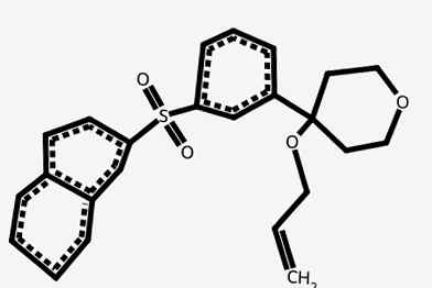 C=CCOC1(c2cccc(S(=O)(=O)c3ccc4ccccc4c3)c2)CCOCC1